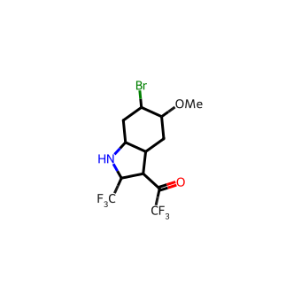 COC1CC2C(CC1Br)NC(C(F)(F)F)C2C(=O)C(F)(F)F